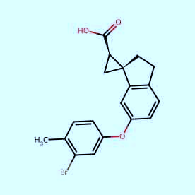 Cc1ccc(Oc2ccc3c(c2)[C@]2(CC3)C[C@H]2C(=O)O)cc1Br